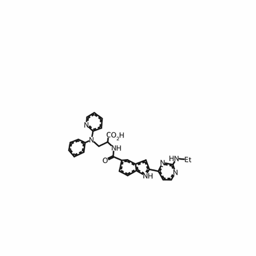 CCNc1nccc(-c2cc3cc(C(=O)NC(CN(c4ccccc4)c4ccccn4)C(=O)O)ccc3[nH]2)n1